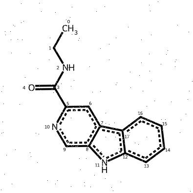 CCNC(=O)c1cc2c(cn1)[nH]c1ccccc12